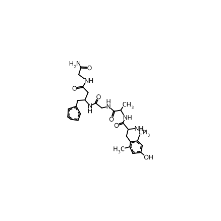 Cc1cc(O)cc(C)c1CC(N)C(=O)NC(C)C(=O)NCC(=O)NC(CC(=O)NCC(N)=O)Cc1ccccc1